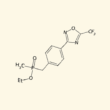 CCOP(C)(=O)Cc1ccc(-c2noc(C(F)(F)F)n2)cc1